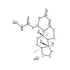 C[C@]12CC[C@H]3[C@@H](CCC4=CC(=O)CC(CC(=O)NO)[C@@]43C)[C@@H]1CC[C@@H]2O